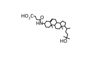 CC(CCC(C)(C)O)C1CCC2C3CC=C4CC(NC(=O)CCC(=O)O)CCC4(C)C3CCC12C